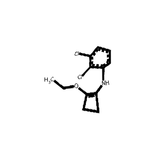 CCOC1=C(Nc2cccc(Cl)c2Cl)CC1